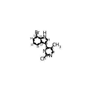 Cc1cnc(Cl)nc1-c1c[nH]c2c(Br)cccc12